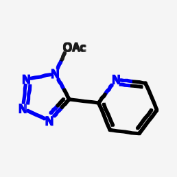 CC(=O)On1nnnc1-c1ccccn1